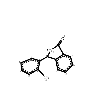 O=C1NC(c2ccccc2O)c2ccccc21